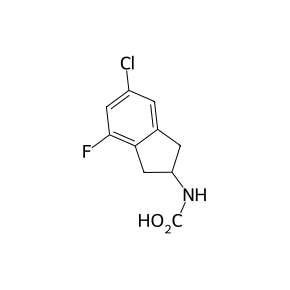 O=C(O)NC1Cc2cc(Cl)cc(F)c2C1